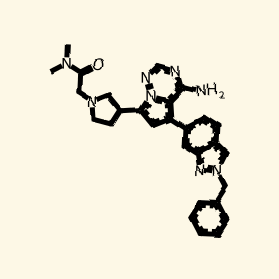 CN(C)C(=O)CN1CCC(c2cc(-c3ccc4cn(Cc5ccccc5)nc4c3)c3c(N)ncnn23)C1